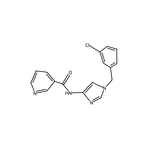 O=C(Nc1cn(Cc2cccc(Cl)c2)cn1)c1cccnc1